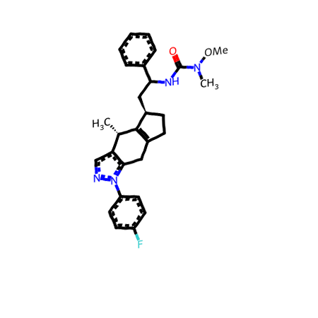 CON(C)C(=O)NC(C[C@H]1CCC2=C1[C@@H](C)c1cnn(-c3ccc(F)cc3)c1C2)c1ccccc1